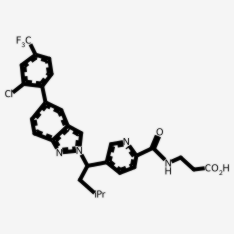 CC(C)CC(c1ccc(C(=O)NCCC(=O)O)nc1)n1cc2cc(-c3ccc(C(F)(F)F)cc3Cl)ccc2n1